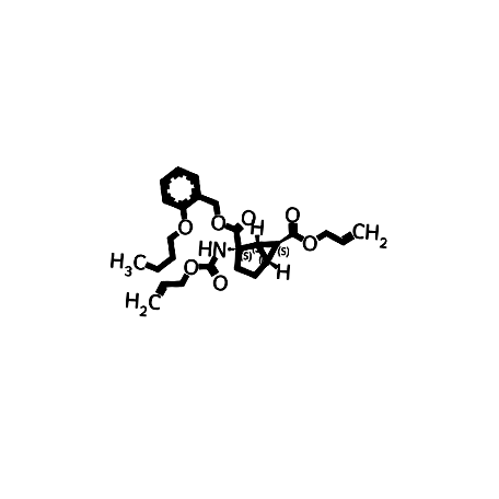 C=CCOC(=O)N[C@@]1(C(=O)OCc2ccccc2OCCCC)CC[C@H]2[C@H](C(=O)OCC=C)[C@H]21